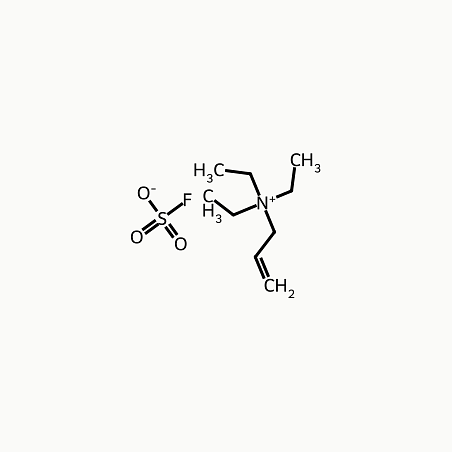 C=CC[N+](CC)(CC)CC.O=S(=O)([O-])F